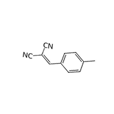 Cc1ccc(C=C(C#N)C#N)cc1